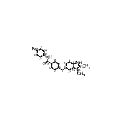 Cc1[nH]c2ccc(Cc3ccc(C(=O)Nc4ccc(F)cc4)cc3)cc2c1C